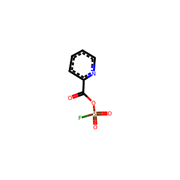 O=C(OS(=O)(=O)F)c1ccccn1